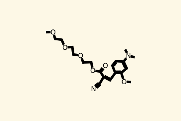 COCCOCCOCCOC(=O)C(C#N)=Cc1ccc(N(C)C)cc1OC